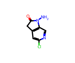 NN1C(=O)Cc2cc(Cl)ncc21